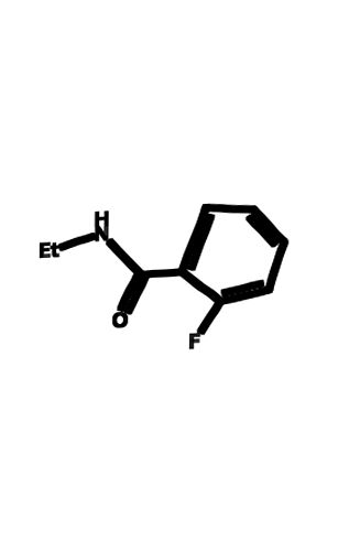 CCNC(=O)c1ccccc1F